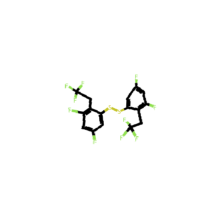 Fc1cc(F)c(CC(F)(F)F)c(SSc2cc(F)cc(F)c2CC(F)(F)F)c1